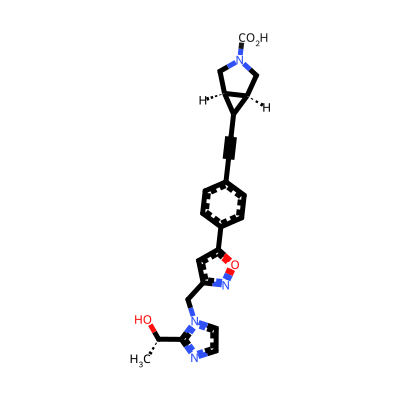 C[C@H](O)c1nccn1Cc1cc(-c2ccc(C#CC3[C@H]4CN(C(=O)O)C[C@@H]34)cc2)on1